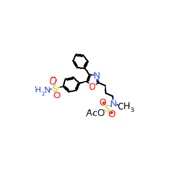 CC(=O)OS(=O)(=O)N(C)CCCc1nc(-c2ccccc2)c(-c2ccc(S(N)(=O)=O)cc2)o1